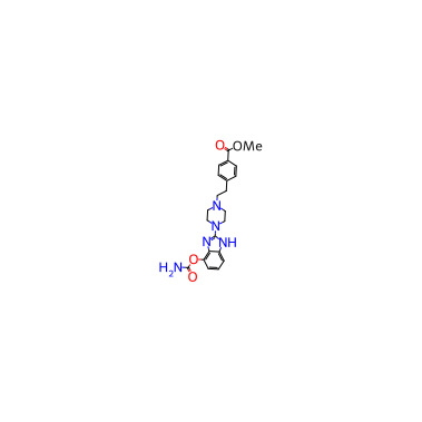 COC(=O)c1ccc(CCN2CCN(c3nc4c(OC(N)=O)cccc4[nH]3)CC2)cc1